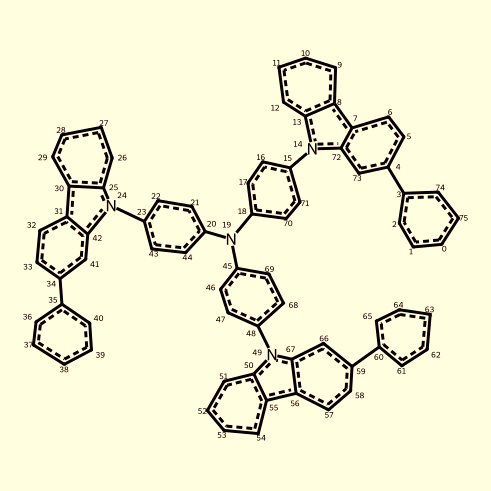 c1ccc(-c2ccc3c4ccccc4n(-c4ccc(N(c5ccc(-n6c7ccccc7c7ccc(-c8ccccc8)cc76)cc5)c5ccc(-n6c7ccccc7c7ccc(-c8ccccc8)cc76)cc5)cc4)c3c2)cc1